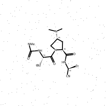 CC[C@@H](C#N)NC(=O)[C@@H]1C[C@@H](N(C)C)CN1C(=O)[C@@H](NC(=O)NC)C(C)(C)C